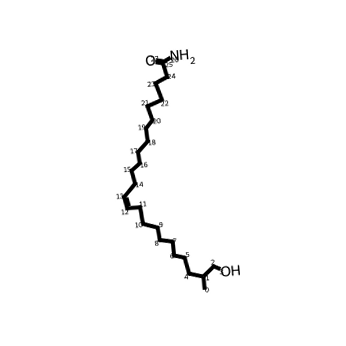 CC(CO)CCCCCCCC/C=C\CCCCCCCCCCCC(N)=O